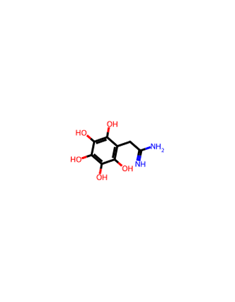 N=C(N)Cc1c(O)c(O)c(O)c(O)c1O